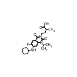 CC(CCn1c(=O)c2cc(F)c(NC3CCCCC3)cc2n(C(C)C)c1=O)C(=O)O